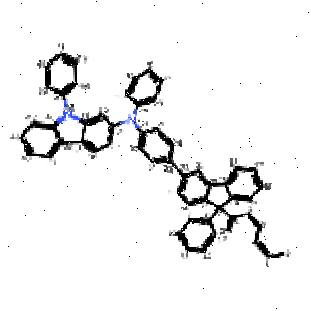 C=C(/C=C\C=C/C)C1(c2ccccc2)c2ccccc2-c2cc(-c3ccc(N(c4ccccc4)c4ccc5c6ccccc6n(-c6ccccc6)c5c4)cc3)ccc21